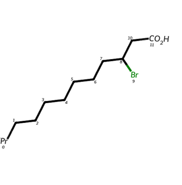 CC(C)CCCCCCCC(Br)CC(=O)O